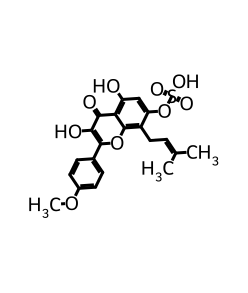 COc1ccc(-c2oc3c(CC=C(C)C)c(OS(=O)(=O)O)cc(O)c3c(=O)c2O)cc1